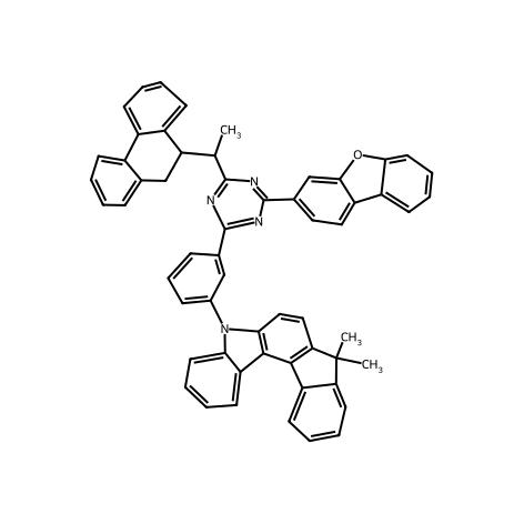 CC(c1nc(-c2cccc(-n3c4ccccc4c4c5c(ccc43)C(C)(C)c3ccccc3-5)c2)nc(-c2ccc3c(c2)oc2ccccc23)n1)C1Cc2ccccc2-c2ccccc21